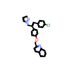 Clc1ccc(/C=C(/Cn2cccn2)c2ccc(OCc3ccc4ccccc4n3)cc2)cc1